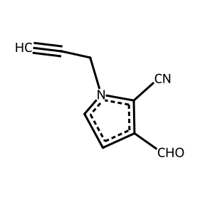 C#CCn1ccc(C=O)c1C#N